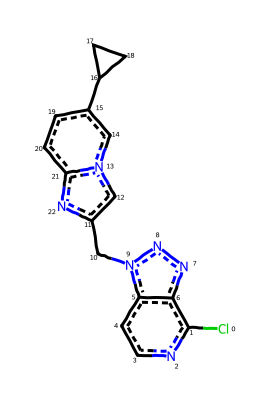 Clc1nccc2c1nnn2Cc1cn2cc(C3CC3)ccc2n1